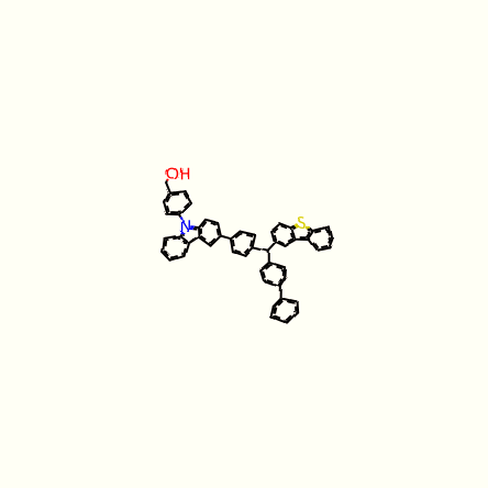 OCc1ccc(-n2c3ccccc3c3cc(-c4ccc(C(c5ccc(-c6ccccc6)cc5)c5ccc6sc7ccccc7c6c5)cc4)ccc32)cc1